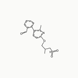 Cc1nc(OCC(C)C[SH](=O)=O)ccc1-c1ccccc1C=O